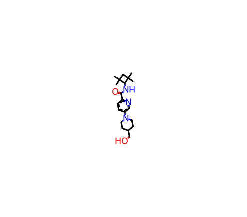 CC1(C)CC(C)(C)C1NC(=O)c1ccc(N2CCC(CO)CC2)cn1